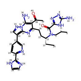 CCCN(C(=O)c1nnc(N)[nH]1)[C@H](CC)CCc1nc2c(-c3ccc(-c4ncc[nH]4)nc3)cnn2c(N)c1C(C)=O